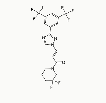 O=C(C=Cn1cnc(-c2cc(C(F)(F)F)cc(C(F)(F)F)c2)n1)N1CCCC(F)(F)C1